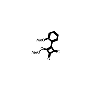 COOc1c(-c2ccccc2OC)c(=O)c1=O